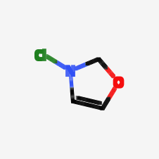 ClN1C=COC1